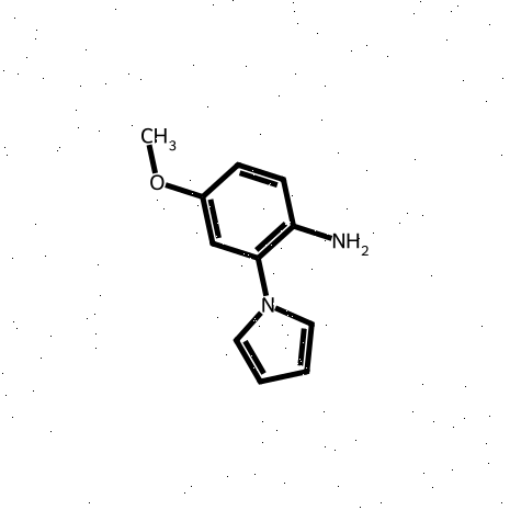 COc1ccc(N)c(-n2cccc2)c1